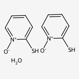 O.[O-][n+]1ccccc1S.[O-][n+]1ccccc1S